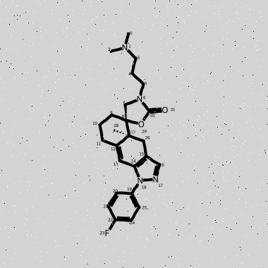 CN(C)CCCN1C[C@@]2(CCCC3=Cc4c(cnn4-c4ccc(F)cc4)C[C@@]32C)OC1=O